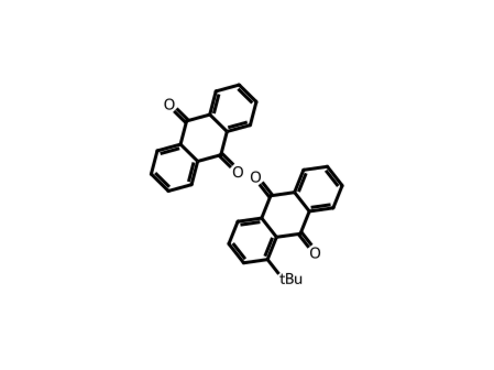 CC(C)(C)c1cccc2c1C(=O)c1ccccc1C2=O.O=C1c2ccccc2C(=O)c2ccccc21